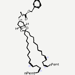 CCCCC/C=C\C/C=C\CCCCCCCCC1(CCCCCCCC/C=C\C/C=C\CCCCC)O[C@H]2C[C@@H](CN(C)C(=O)OCc3ccccc3)C[C@H]2O1